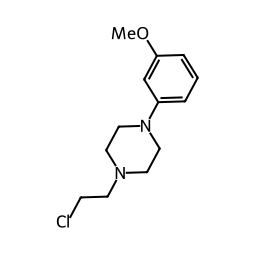 COc1cccc(N2CCN(CCCl)CC2)c1